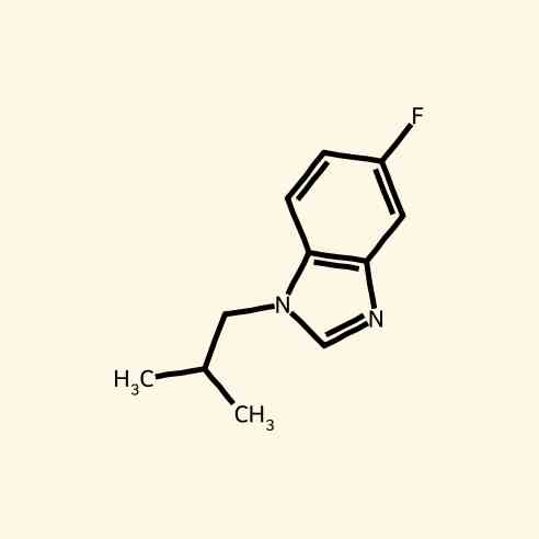 CC(C)Cn1cnc2cc(F)ccc21